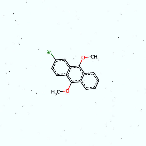 COc1c2ccccc2c(OC)c2cc(Br)ccc12